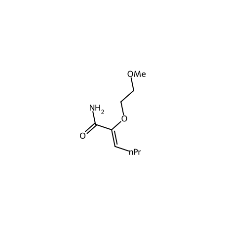 CCCC=C(OCCOC)C(N)=O